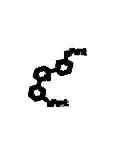 CCCCCc1cccc(-c2cccc(-c3cccc(CCCCC)c3)n2)c1